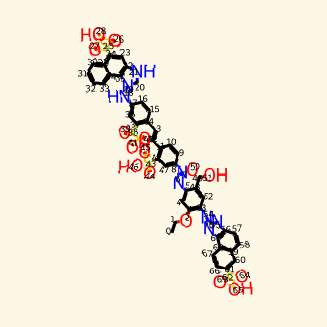 CCOc1cc(N=Nc2ccc(C=Cc3ccc(NN4CNc5cc(S(=O)(=O)O)c6ccccc6c54)cc3S(=O)(=O)O)c(S(=O)(=O)O)c2)c(C(=O)O)cc1-n1n2c3ccc4cc(S(=O)(=O)O)ccc4c3n12